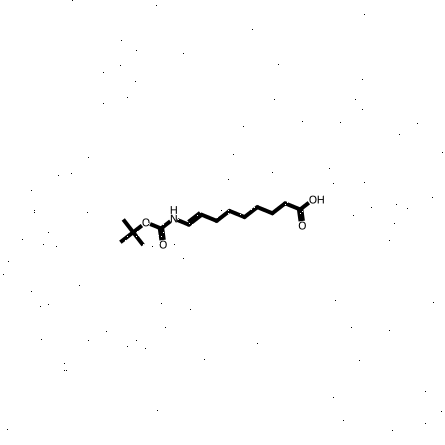 CC(C)(C)OC(=O)NC=CCCCCCCC(=O)O